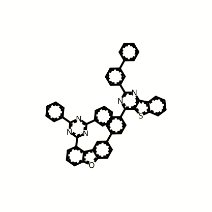 c1ccc(-c2cccc(-c3nc(-c4ccc(-c5ccc6oc7cccc(-c8nc(-c9ccccc9)nc(-c9ccccc9)n8)c7c6c5)cc4)c4sc5ccccc5c4n3)c2)cc1